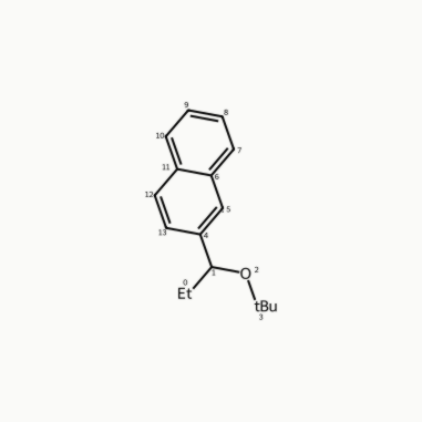 CCC(OC(C)(C)C)c1[c]c2ccccc2cc1